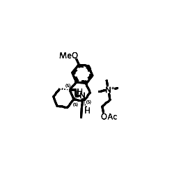 CC(=O)OCC[N+](C)(C)C.COc1ccc2c(c1)[C@]13CCCC[C@@H]1[C@H](C2)N(C)CC3